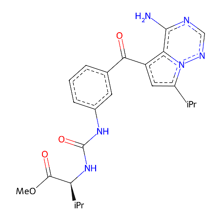 COC(=O)[C@@H](NC(=O)Nc1cccc(C(=O)c2cc(C(C)C)n3ncnc(N)c23)c1)C(C)C